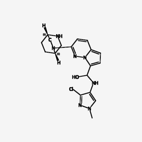 Cn1cc(NC(O)c2ccc3ccc(N4C[C@@H]5CC[C@H]4CN5)nn23)c(Cl)n1